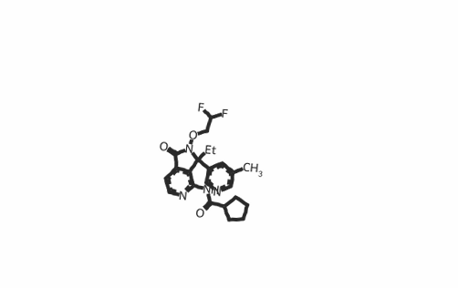 CCC1(c2cncc(C)c2)c2c(ccnc2NC(=O)C2CCCC2)C(=O)N1OCC(F)F